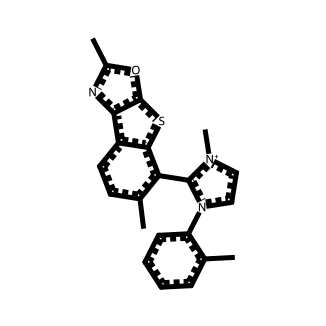 Cc1nc2c(o1)sc1c(-c3n(-c4ccccc4C)cc[n+]3C)c(C)ccc12